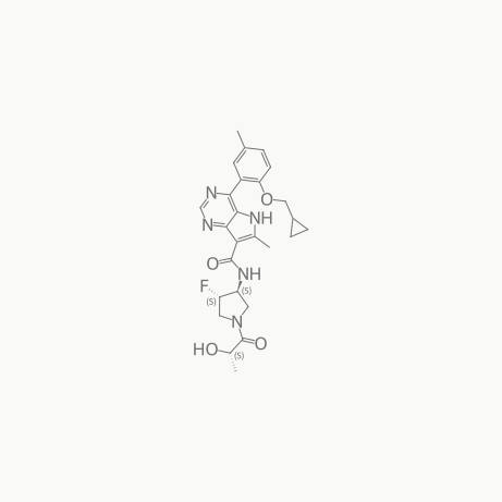 Cc1ccc(OCC2CC2)c(-c2ncnc3c(C(=O)N[C@H]4CN(C(=O)[C@H](C)O)C[C@@H]4F)c(C)[nH]c23)c1